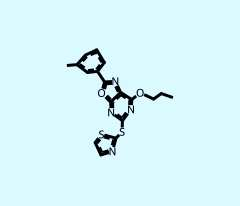 CCCOc1nc(Sc2nccs2)nc2oc(-c3cccc(C)c3)nc12